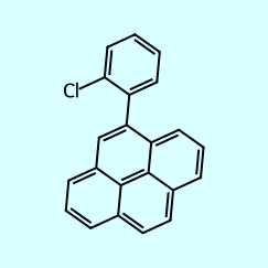 Clc1ccccc1-c1cc2cccc3ccc4cccc1c4c32